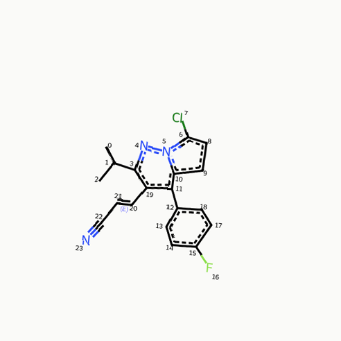 CC(C)c1nn2c(Cl)ccc2c(-c2ccc(F)cc2)c1/C=C/C#N